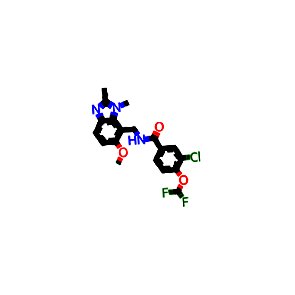 COc1ccc2nc(C)n(C)c2c1CNC(=O)c1ccc(OC(F)F)c(Cl)c1